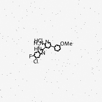 COc1cccc(-c2cnc(N)c(-c3nc4cc(Cl)c(F)cc4[nH]3)c2)c1.Cl